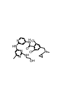 Cc1cc(Nc2cc(NC(=O)c3c(Cl)cc(CN(C)C4CC4)cc3Cl)ccn2)nc(NCCO)n1